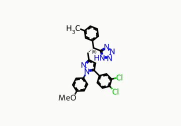 COc1ccc(-n2nc(C[C@H](c3cccc(C)c3)c3nnn[nH]3)cc2-c2ccc(Cl)c(Cl)c2)cc1